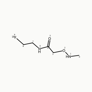 CNOCC(=O)NCC[18F]